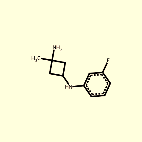 CC1(N)CC(Nc2cccc(F)c2)C1